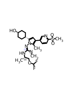 C=N/C(=N\n1c(C)c(-c2ccc(S(C)(=O)=O)nc2)cc1[C@H]1CC[C@H](O)CC1)N[C@@H](C)COC(F)F